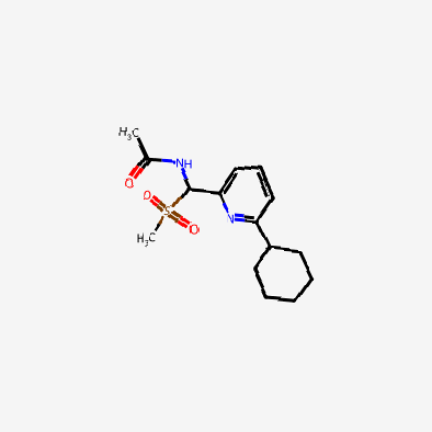 CC(=O)NC(c1cccc(C2CCCCC2)n1)S(C)(=O)=O